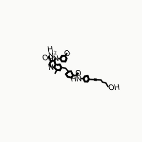 COc1cccc(Nc2c(C(N)=O)cnc3c(C)cc(Cc4cccc(C(=O)Nc5ccc(C#CCCCCO)cc5)c4)cc23)c1